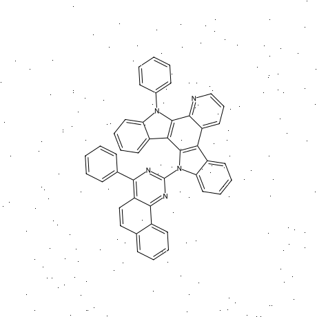 c1ccc(-c2nc(-n3c4ccccc4c4c5cccnc5c5c(c6ccccc6n5-c5ccccc5)c43)nc3c2ccc2ccccc23)cc1